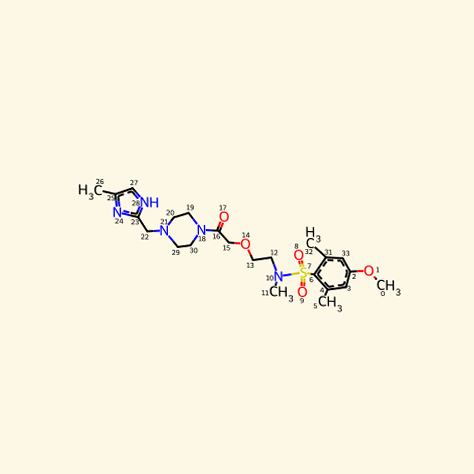 COc1cc(C)c(S(=O)(=O)N(C)CCOCC(=O)N2CCN(Cc3nc(C)c[nH]3)CC2)c(C)c1